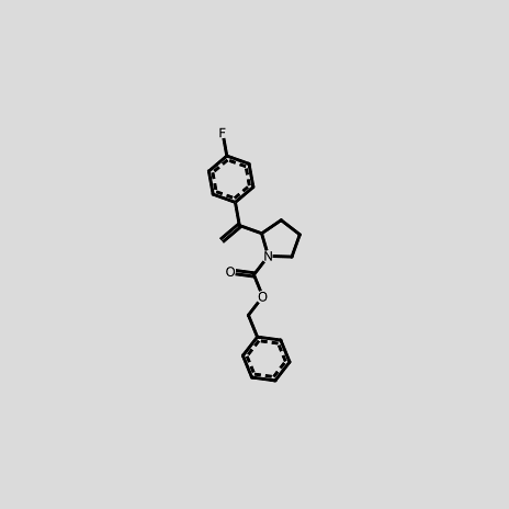 C=C(c1ccc(F)cc1)C1CCCN1C(=O)OCc1ccccc1